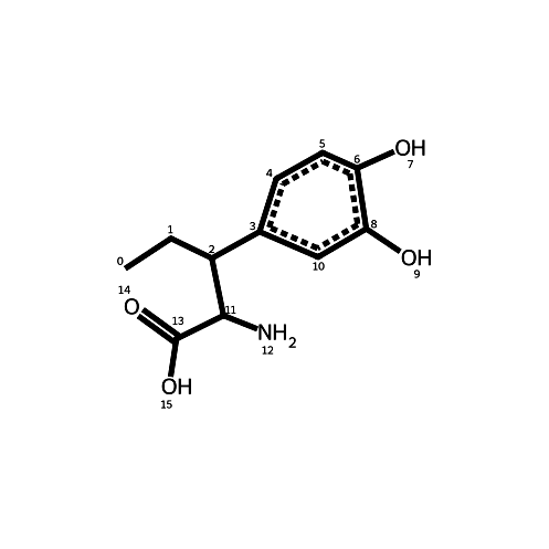 CCC(c1ccc(O)c(O)c1)C(N)C(=O)O